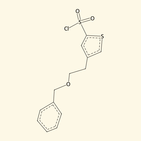 O=S(=O)(Cl)c1cc(CCOCc2ccccc2)cs1